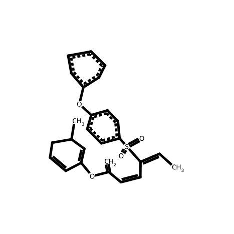 C=C(/C=C\C(=C/C)S(=O)(=O)c1ccc(Oc2ccccc2)cc1)OC1=CC(C)CC=C1